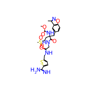 COC(=O)NC(CCS(C)(=O)=O)(Cc1ccc2onc(C)c2c1)C(=O)NCC(=O)NCc1ccc(C(=N)N)s1